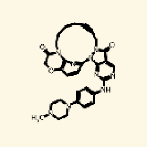 CN1CCN(c2ccc(Nc3ncc4c(=O)n5n(c4n3)-c3ccc4c(n3)N(CCCCC#CC5)C(=O)CO4)cc2)CC1